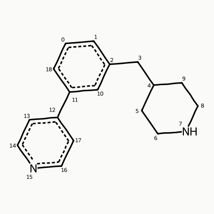 c1cc(CC2CCNCC2)cc(-c2ccncc2)c1